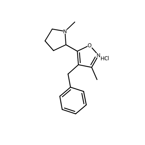 Cc1noc(C2CCCN2C)c1Cc1ccccc1.Cl